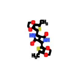 Cc1sc(C2=C3C(=O)NC(c4sc(C)c5c4OCCO5)=C3C(=O)N2)c2c1OCCO2